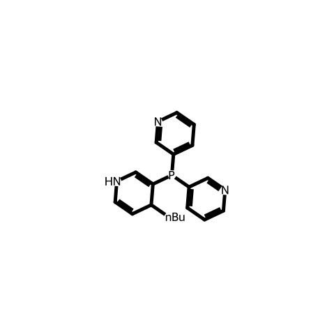 CCCCC1C=CNC=C1P(c1cccnc1)c1cccnc1